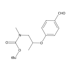 CC(CN(C)C(=O)OC(C)(C)C)Oc1ccc(C=O)cc1